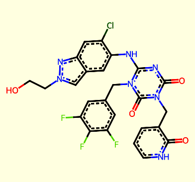 O=c1[nH]cccc1Cn1c(=O)nc(Nc2cc3cn(CCO)nc3cc2Cl)n(Cc2cc(F)c(F)c(F)c2)c1=O